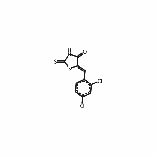 O=C1NC(=S)S/C1=C\c1ccc(Cl)cc1Cl